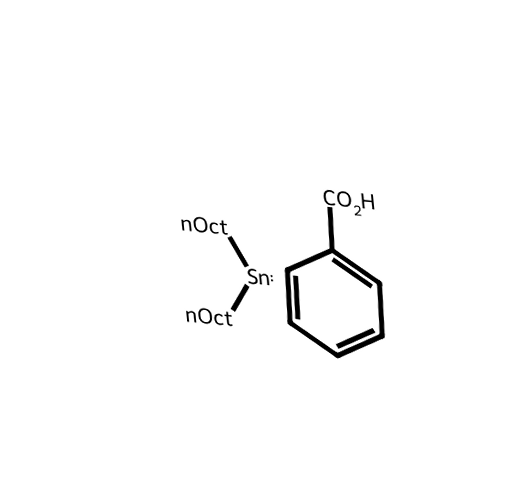 CCCCCCC[CH2][Sn][CH2]CCCCCCC.O=C(O)c1ccccc1